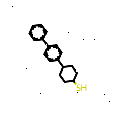 SC1CCC(c2ccc(-c3ccccc3)cc2)CC1